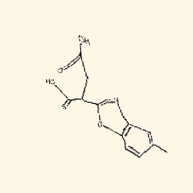 Cc1ccc2oc(C(CC(=O)O)C(O)=S)nc2c1